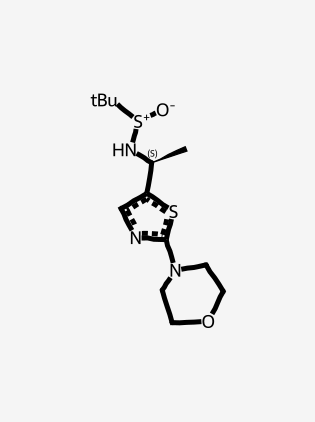 C[C@H](N[S+]([O-])C(C)(C)C)c1cnc(N2CCOCC2)s1